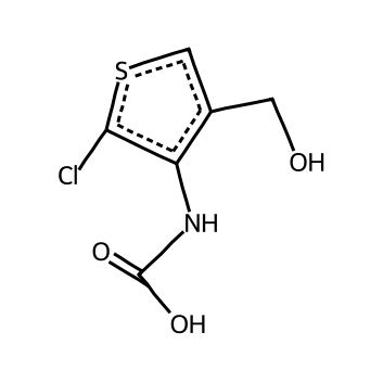 O=C(O)Nc1c(CO)csc1Cl